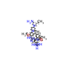 CCCCN(CCN)C1CCN(c2cc(OC)c(Nc3ncc(C4=CNNN4)c(Nc4ccccc4P(C)(C)=O)n3)cc2CC)CC1